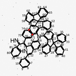 N=C(/C(=C1\NC(c2ccccc2)=Cc2ccc(N(c3cccc4c3-c3ccccc3C4(c3ccccc3)c3ccccc3)c3cccc4c3-c3ccccc3C43c4ccccc4-c4ccccc43)cc21)c1ccccc1)c1ccccc1